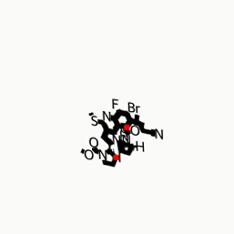 COC(=O)N1CCC[C@@H]1c1cc2c(SC)nc3c(F)c(Br)c(CCC#N)cc3c2n1[C@H]1[C@@H]2C[C@H]1N(C(=O)OC(C)(C)C)C2